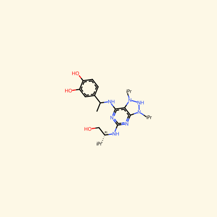 CC(Nc1nc(N[C@@H](CO)C(C)C)nc2c1N(C(C)C)NN2C(C)C)c1ccc(O)c(O)c1